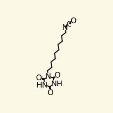 O=C=NCCCCCCCCCCn1c(=O)[nH]c(=O)[nH]c1=O